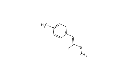 CSC(I)=Cc1ccc(C)cc1